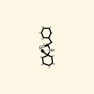 N#CC1(NC(=O)CC2CCCCC2)CCCCC1